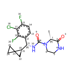 C[C@@H]1C(=O)NCCN1C(=O)N[C@@H](c1ccc(F)c(Cl)c1F)[C@H]1CC12CC2